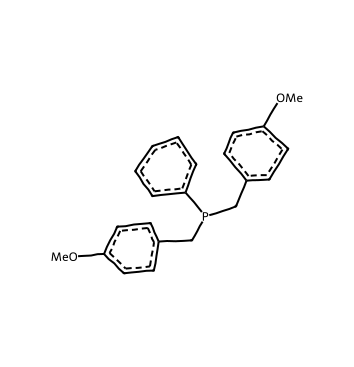 COc1ccc(CP(Cc2ccc(OC)cc2)c2ccccc2)cc1